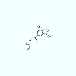 C=CC(=O)C[C@H](C)CC(=O)c1cc2c(c(C(F)(F)F)c1)COB2O